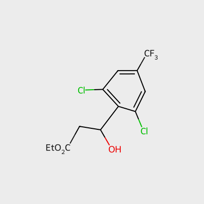 CCOC(=O)CC(O)c1c(Cl)cc(C(F)(F)F)cc1Cl